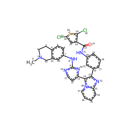 CN1CCc2ccc(Nc3nccc(-c4c(-c5cccc(NC(=O)c6cc(Cl)sc6Cl)c5)nc5ccccn45)n3)cc2C1